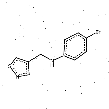 Brc1ccc(NCc2cnsc2)cc1